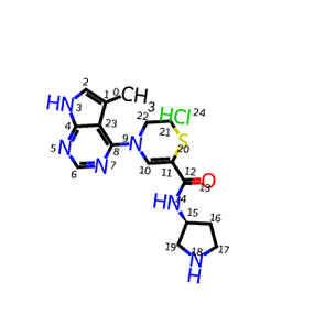 Cc1c[nH]c2ncnc(N3C=C(C(=O)N[C@H]4CCNC4)SCC3)c12.Cl